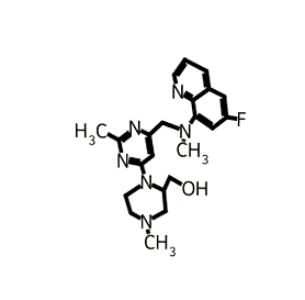 Cc1nc(CN(C)c2cc(F)cc3cccnc23)cc(N2CCN(C)CC2CO)n1